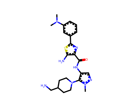 CN(C)c1cccc(-c2nc(C(=O)Nc3cnn(C)c3N3CCC(CN)CC3)c(N)s2)c1